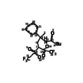 CCC(C)C(=O)NC(C)(CC(S(=O)(=O)C(F)(F)F)S(=O)(=O)C(F)(F)F)c1ccccc1